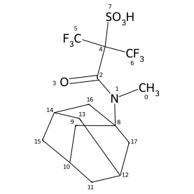 CN(C(=O)C(C(F)(F)F)(C(F)(F)F)S(=O)(=O)O)C12CC3CC(CC(C3)C1)C2